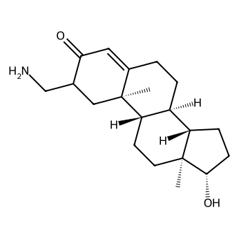 C[C@]12CC[C@H]3[C@@H](CCC4=CC(=O)C(CN)C[C@@]43C)[C@@H]1CC[C@@H]2O